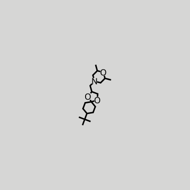 CC1CN(CC2COC3(CCC(C(C)(C)C)CC3)O2)CC(C)O1